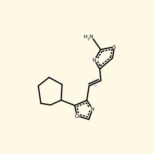 Nc1nc(/C=C/c2ncoc2C2CCCCC2)cs1